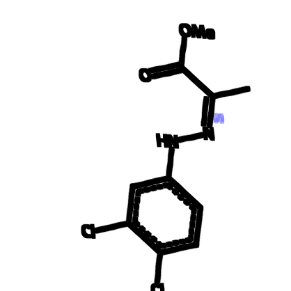 COC(=O)/C(C)=N\Nc1ccc(Cl)c(Cl)c1